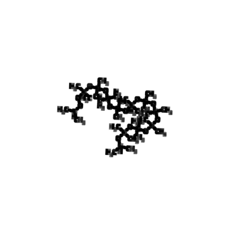 C[SiH](C)OO[Si](C)(C)O[Si](C)(C)O[Si](C)(C)O[Si](C)(C)O[Si](C)(C)O[Si](C)(C)O[Si](C)(C)O[Si](C)(C)O[Si](C)(C)O[Si](C)(C)O[SiH](C)C